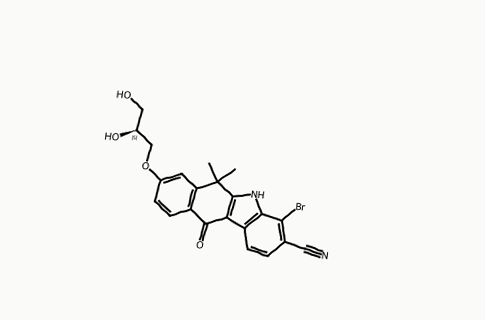 CC1(C)c2cc(OC[C@@H](O)CO)ccc2C(=O)c2c1[nH]c1c(Br)c(C#N)ccc21